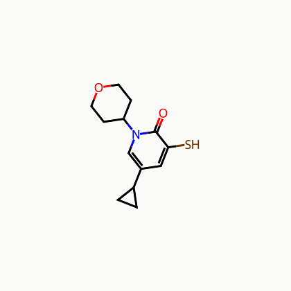 O=c1c(S)cc(C2CC2)cn1C1CCOCC1